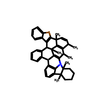 CC1C=CC2(C)C3=C1C(C)C1=C4B(c5ccccc5C(c5c2sc2ccccc52)C43C)c2cccc3c2N1C1(C)CCCCC31C